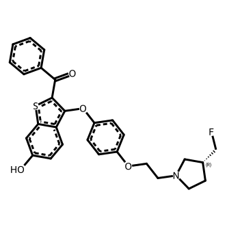 O=C(c1ccccc1)c1sc2cc(O)ccc2c1Oc1ccc(OCCN2CC[C@@H](CF)C2)cc1